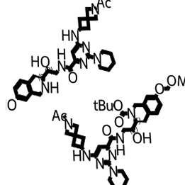 CC(=O)N1CC2(CC(Nc3cc(C(=O)NC[C@@H](O)[C@@H]4Cc5ccc(O)cc5CN4)nc(N4CCCCC4)n3)C2)C1.COCOc1ccc2c(c1)CN(C(=O)OC(C)(C)C)[C@H]([C@H](O)CNC(=O)c1cc(NC3CC4(C3)CN(C(C)=O)C4)nc(N3CCCCC3)n1)C2